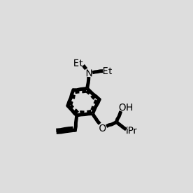 C=Cc1ccc(N(CC)CC)cc1OC(O)C(C)C